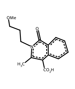 COCCCn1c(C)c(C(=O)O)c2ccccc2c1=O